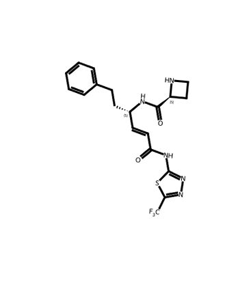 O=C(C=C[C@H](CCc1ccccc1)NC(=O)[C@@H]1CCN1)Nc1nnc(C(F)(F)F)s1